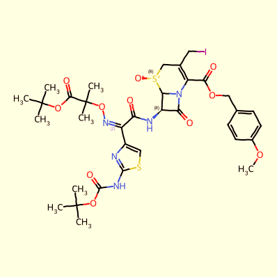 COc1ccc(COC(=O)C2=C(CI)C[S@+]([O-])C3[C@H](NC(=O)/C(=N\OC(C)(C)C(=O)OC(C)(C)C)c4csc(NC(=O)OC(C)(C)C)n4)C(=O)N23)cc1